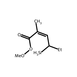 CCC([SiH3])C=C(C)C(=O)OOC